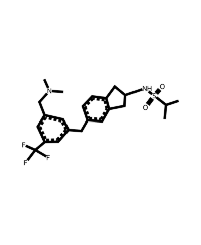 CC(C)S(=O)(=O)NC1Cc2ccc(Cc3cc(CN(C)C)cc(C(F)(F)F)c3)cc2C1